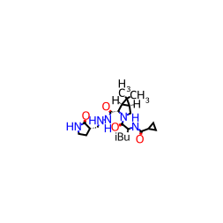 CCC(C)C(NC(=O)C1CC1)C(=O)N1C[C@H]2[C@@H]([C@H]1C(=O)NNC[C@@H]1CCNC1=O)C2(C)C